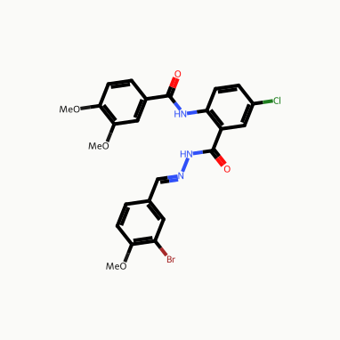 COc1ccc(C=NNC(=O)c2cc(Cl)ccc2NC(=O)c2ccc(OC)c(OC)c2)cc1Br